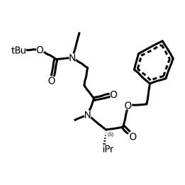 CC(C)[C@@H](C(=O)OCc1ccccc1)N(C)C(=O)CCN(C)C(=O)OC(C)(C)C